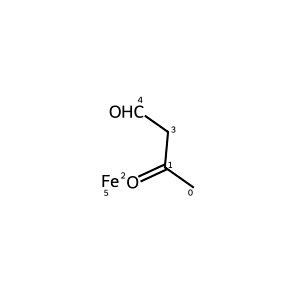 CC(=O)CC=O.[Fe]